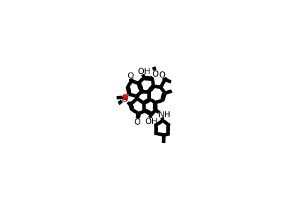 COc1c(O)c2c(=O)cc(OC)c3c4c(OC)cc(=O)c5c(O)c(NC6CCC(C)CC6)c6c(c(c1C(C(C)=O)C(C)=C6)c23)c54